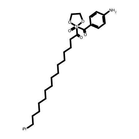 CC(C)CCCCCCCCCCCCCC[C](=O)[Ti]1(=[O])([C](=O)c2ccc(N)cc2)[O]CC[O]1